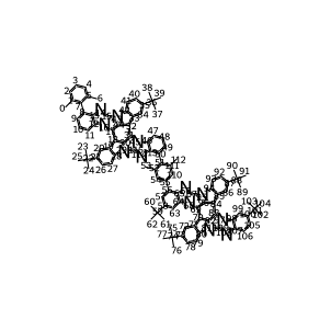 Cc1cccc(C)c1-c1cccc2c1nc1n2c2c3c4cc(C(C)(C)C)ccc4n4c3c(c3c5cc(C(C)(C)C)ccc5n1c32)n1c2cccc(-c3c(C)cc(-c5cc(C(C)(C)C)cc6c5nc5n6c6c7c8cc(C(C)(C)C)ccc8n8c7c(c7c9cc(C(C)(C)C)ccc9n5c76)n5c6cc(C(C)(C)C)ccc6nc58)cc3C)c2nc14